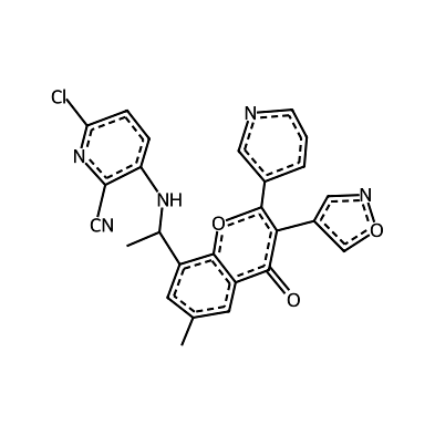 Cc1cc(C(C)Nc2ccc(Cl)nc2C#N)c2oc(-c3cccnc3)c(-c3cnoc3)c(=O)c2c1